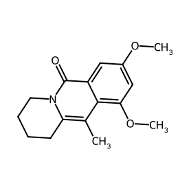 COc1cc(OC)c2c(C)c3n(c(=O)c2c1)CCCC3